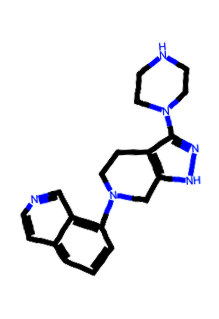 c1cc(N2CCc3c(N4CCNCC4)n[nH]c3C2)c2cnccc2c1